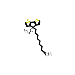 C#CCCCCCCCCC1(C)c2ccsc2-c2sccc21